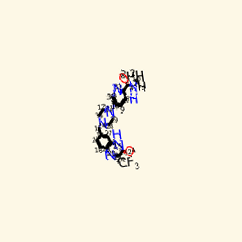 [2H]C([2H])([2H])NC(=O)c1ccc(N2CCN(Cc3ccc4nc(C(F)(F)F)c(=O)[nH]c4c3)CC2)cn1